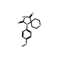 CSc1ccc(N2C(=O)NC(=O)C23CCOCC3)cc1